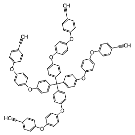 C#Cc1ccc(Oc2ccc(Oc3ccc(C(c4ccc(Oc5ccc(Oc6ccc(C#C)cc6)cc5)cc4)(c4ccc(Oc5ccc(Oc6ccc(C#C)cc6)cc5)cc4)c4ccc(Oc5ccc(Oc6ccc(C#C)cc6)cc5)cc4)cc3)cc2)cc1